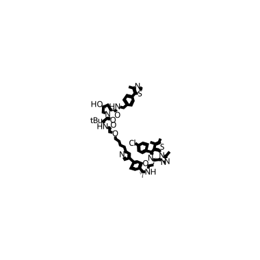 Cc1ncsc1-c1ccc(CNC(=O)[C@@H]2C[C@@H](O)CN2C(=O)C(NC(=O)COCCCCC2C=C(c3ccc([C@@H](C)NC(=O)C[C@@H]4N=C(c5ccc(Cl)cc5)c5c(sc(C)c5C)-n5c(C)nnc54)cc3)C=N2)C(C)(C)C)cc1